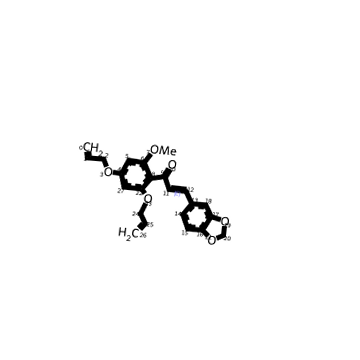 C=CCOc1cc(OC)c(C(=O)/C=C/c2ccc3c(c2)OCO3)c(OCC=C)c1